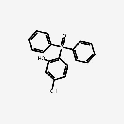 O=P(c1ccccc1)(c1ccccc1)c1ccc(O)cc1O